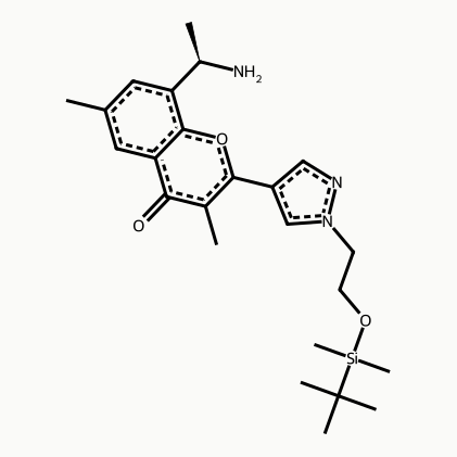 Cc1cc([C@@H](C)N)c2oc(-c3cnn(CCO[Si](C)(C)C(C)(C)C)c3)c(C)c(=O)c2c1